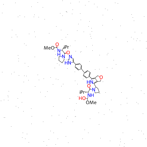 COC(=O)N[C@H](C(=O)N1CCC[C@H]1c1ncc(-c2ccc(-c3ccc(-c4[nH]c(C5CCCN5C(=O)[C@@H](NC(O)OC)C(C)C)c5c4COC5)cc3)cc2)[nH]1)C(C)C